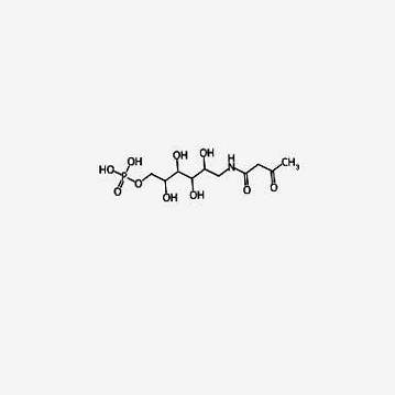 CC(=O)CC(=O)NCC(O)C(O)C(O)C(O)COP(=O)(O)O